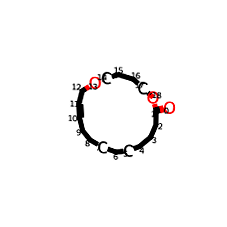 O=C1CCCCCCCC/C=C\COCCCCO1